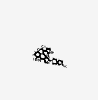 CC(=O)N1CCC2(CCN(c3ccc(-c4n[nH]c5ccc(O[C@H](C)c6ccnc7[nH]ccc67)cc45)cn3)CC2)C1